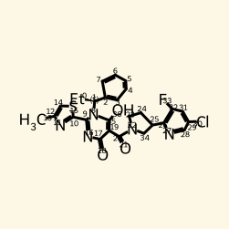 CC[C@@H](c1ccccc1)n1c(-c2nc(C)cs2)nc(=O)c(C(=O)N2CCC(c3ncc(Cl)cc3F)C2)c1O